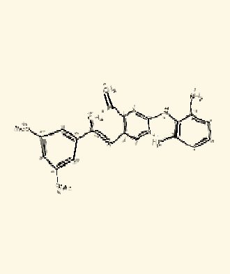 C=Nc1nc(Nc2c(C)cccc2N)ncc1/C=C(\C)c1cc(OC)cc(OC)c1